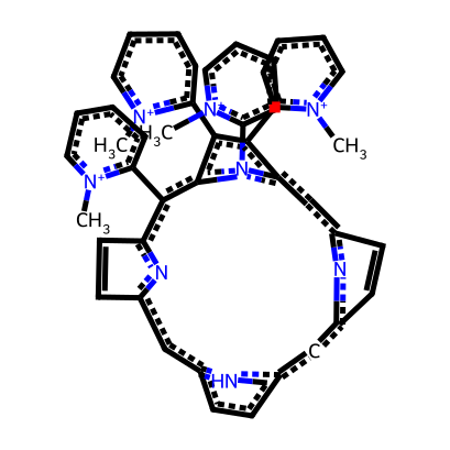 C[n+]1ccccc1-c1c(-c2cccc[n+]2C)c2c(-c3cccc[n+]3C)c3nc(cc4ccc(cc5nc(cc1n2-c1cccc[n+]1C)C=C5)[nH]4)C=C3